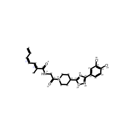 C=C/C=C\C=C(/C)C(=O)NCC(=O)N1CCC(c2nc(-c3ccc(Cl)c(Cl)c3)no2)CC1